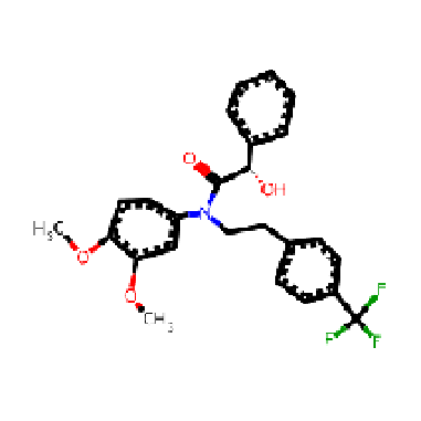 COc1ccc(N(CCc2ccc(C(F)(F)F)cc2)C(=O)[C@@H](O)c2ccccc2)cc1OC